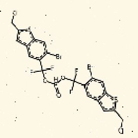 O=[PH](OC(F)(F)c1cc2cc(CCl)sc2cc1Br)OC(F)(F)c1cc2cc(CCl)sc2cc1Br